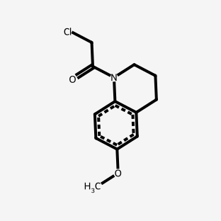 COc1ccc2c(c1)CCCN2C(=O)CCl